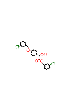 O=C(OCc1cccc(Cl)c1)C(O)c1ccc(OCc2cccc(Cl)c2)cc1